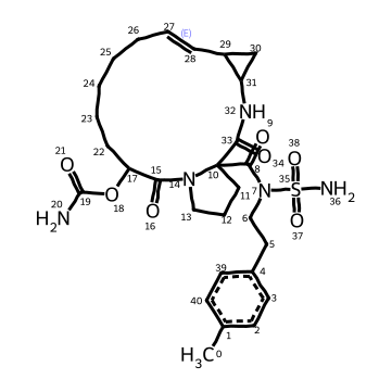 Cc1ccc(CCN(C(=O)C23CCCN2C(=O)C(OC(N)=O)CCCCC/C=C/C2CC2NC3=O)S(N)(=O)=O)cc1